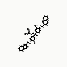 CC(CCC(=O)O)(c1ccc(OCc2ccc3ccccc3n2)c(Cl)c1)c1ccc(OCc2ccc3ccccc3n2)c(Cl)c1.[NaH]